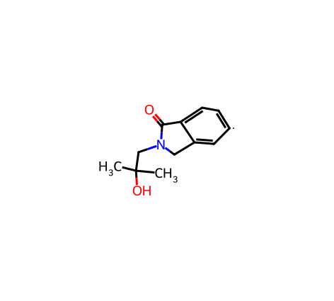 CC(C)(O)CN1Cc2c[c]ccc2C1=O